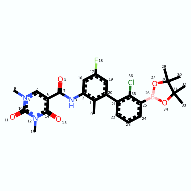 Cc1c(NC(=O)c2cn(C)c(=O)n(C)c2=O)cc(F)cc1-c1cccc(B2OC(C)(C)C(C)(C)O2)c1Cl